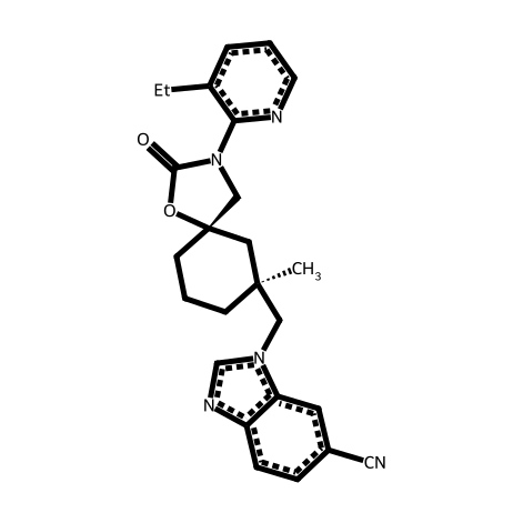 CCc1cccnc1N1C[C@@]2(CCC[C@](C)(Cn3cnc4ccc(C#N)cc43)C2)OC1=O